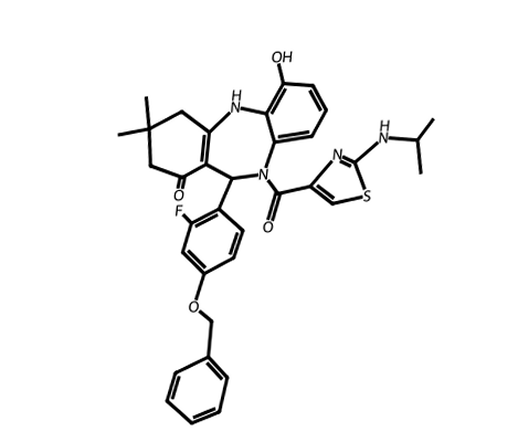 CC(C)Nc1nc(C(=O)N2c3cccc(O)c3NC3=C(C(=O)CC(C)(C)C3)C2c2ccc(OCc3ccccc3)cc2F)cs1